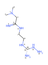 CN(C)CC(=N)NCCN[C@@H](N)NN